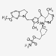 COc1ccc2c(c1)N(Cc1cc(C(=O)C3C(N[C@H]4CCC(COS(N)(=O)=O)C4)=NC=NC3C)sc1C)CC2